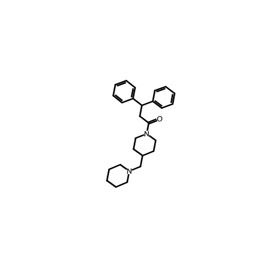 O=C(CC(c1ccccc1)c1ccccc1)N1CCC(CN2CCCCC2)CC1